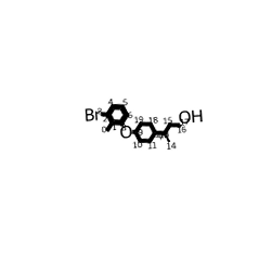 Cc1c(Br)cccc1OC1CCC([C@H](C)CCO)CC1